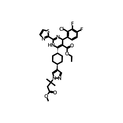 CCOC(=O)C1=C([C@H]2CC[C@H](c3cnn(C(C)(C)CC(=O)OC)c3)CC2)NC(c2nccs2)=NC1c1ccc(F)c(F)c1Cl